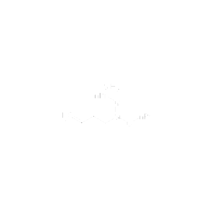 C=CCC[SiH](OCCC)OCCC.[SiH4]